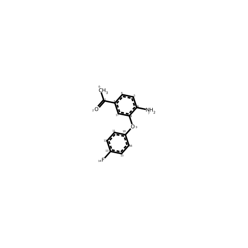 CC(=O)c1ccc(N)c(Oc2ccc(F)cc2)c1